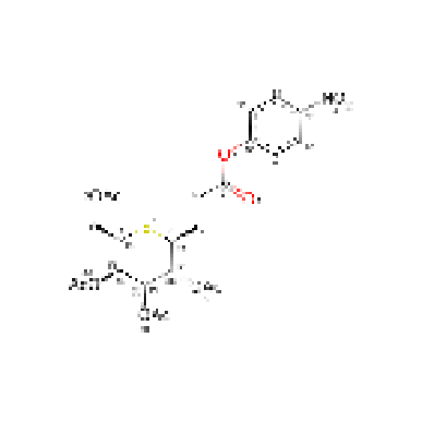 CC(=O)OC[C@H]1S[C@@H](CCC(=O)Oc2ccc([N+](=O)[O-])cc2)[C@H](OC(C)=O)[C@@H](OC(C)=O)[C@H]1OC(C)=O